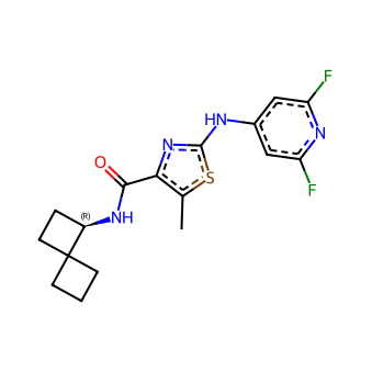 Cc1sc(Nc2cc(F)nc(F)c2)nc1C(=O)N[C@@H]1CCC12CCC2